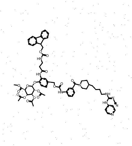 COC(=O)[C@H]1O[C@@H](Oc2ccc(COC(=O)Nc3cccc(C(=O)N4CCC(CCCCN/C(=N/C#N)Nc5ccncc5)CC4)c3)cc2NC(=O)CCNC(=O)OCC2c3ccccc3-c3ccccc32)[C@H](OC(C)=O)[C@@H](OC(C)=O)[C@@H]1OC(C)=O